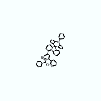 CC/C=C(\C=C(/NC(C)c1ccccc1)c1ccccc1)c1cccc2c1-c1ccccc1C21c2ccccc2N(c2ccccc2)c2ccccc21